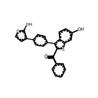 O=C(c1ccccc1)c1sc2cc(O)ccc2c1-c1ccc(-c2ccoc2O)cc1